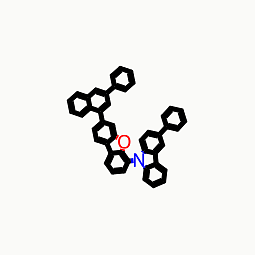 c1ccc(-c2cc(-c3ccc4c(c3)oc3c(-n5c6ccccc6c6cc(-c7ccccc7)ccc65)cccc34)c3ccccc3c2)cc1